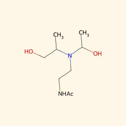 CC(=O)NCCN(C(C)O)C(C)CO